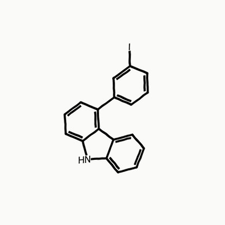 Ic1cccc(-c2cccc3[nH]c4ccccc4c23)c1